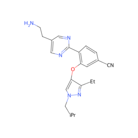 CCc1nn(CC(C)C)cc1Oc1cc(C#N)ccc1-c1ncc(CCN)cn1